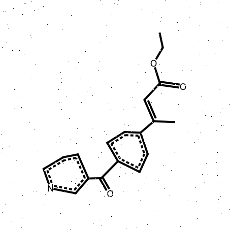 CCOC(=O)C=C(C)c1ccc(C(=O)c2cccnc2)cc1